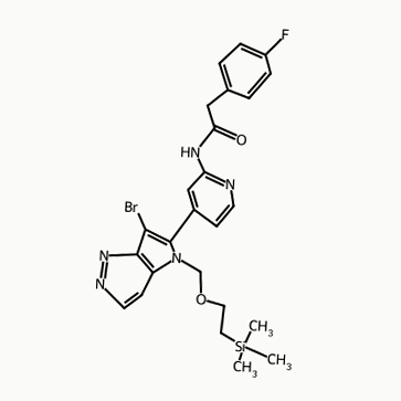 C[Si](C)(C)CCOCn1c(-c2ccnc(NC(=O)Cc3ccc(F)cc3)c2)c(Br)c2nnccc21